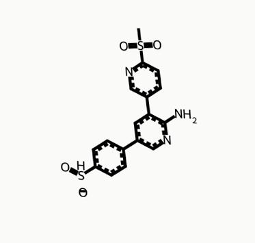 CS(=O)(=O)c1ccc(-c2cc(-c3ccc([SH](=O)=O)cc3)cnc2N)cn1